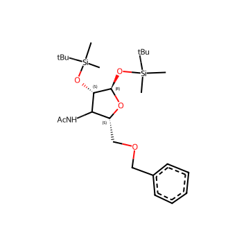 CC(=O)NC1[C@@H](COCc2ccccc2)O[C@H](O[Si](C)(C)C(C)(C)C)[C@H]1O[Si](C)(C)C(C)(C)C